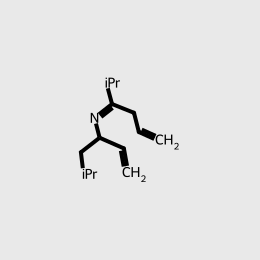 C=CC/C(=N\C(C=C)CC(C)C)C(C)C